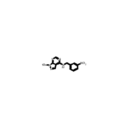 CC(C)(C)n1ncc2c(NCc3cccc([N+](=O)[O-])c3)ncnc21